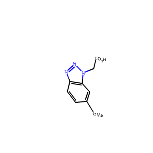 COc1ccc2nnn(CC(=O)O)c2c1